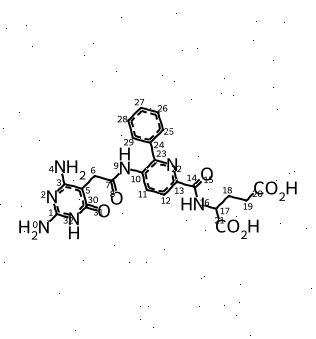 Nc1nc(N)c(CC(=O)Nc2ccc(C(=O)NC(CCC(=O)O)C(=O)O)nc2-c2ccccc2)c(=O)[nH]1